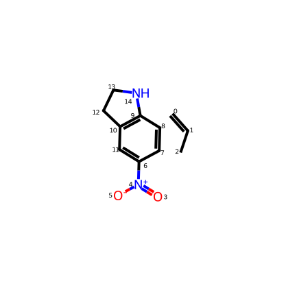 C=CC.O=[N+]([O-])c1ccc2c(c1)CCN2